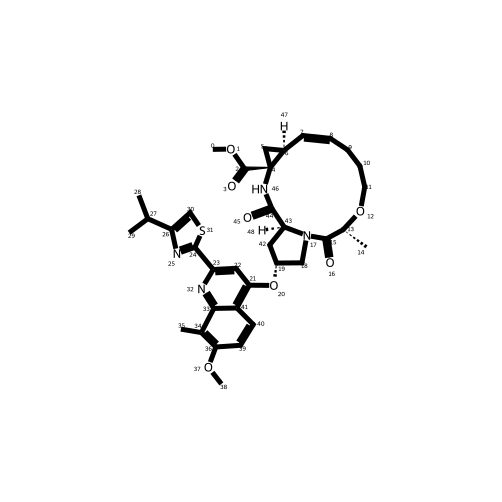 COC(=O)[C@@]12C[C@H]1/C=C\CCCO[C@H](C)C(=O)N1C[C@H](Oc3cc(-c4nc(C(C)C)cs4)nc4c(C)c(OC)ccc34)C[C@H]1C(=O)N2